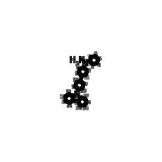 NN(c1ccccc1)c1ccc(-c2ccc(-n3c4ccccc4c4ccccc43)cc2)cc1